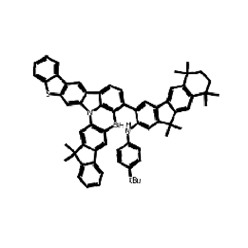 CC(C)(C)c1ccc(Nc2cc3c(cc2-c2ccc4c5cc6c(cc5n5c4c2Bc2cc4c(cc2-5)C(C)(C)c2ccccc2-4)sc2ccccc26)-c2cc4c(cc2C3(C)C)C(C)(C)CCC4(C)C)cc1